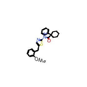 COc1ccccc1Cc1cnc(NC(=O)C2(c3ccccc3)CCCCC2)s1